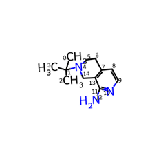 CC(C)(C)N1CCc2ccnc(N)c2C1